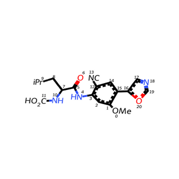 COc1cc(NC(=O)C(CC(C)C)NC(=O)O)c(C#N)cc1-c1cnco1